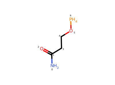 NC(=O)CCO[PH4]